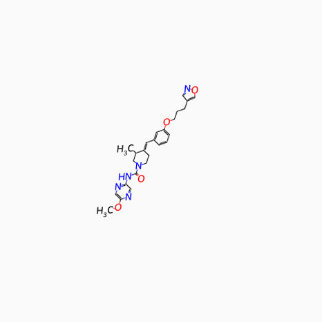 COc1cnc(NC(=O)N2CC/C(=C\c3cccc(OCCCc4cnoc4)c3)C(C)C2)cn1